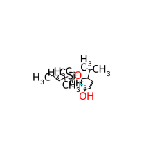 CCCC(C)(C)[Si](C)(C)OCC(/C=C\C(O)F)C(C)C